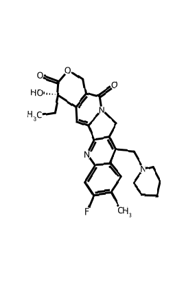 CC[C@@]1(O)C(=O)OCc2c1cc1n(c2=O)Cc2c-1nc1cc(F)c(C)cc1c2CN1CCCCC1